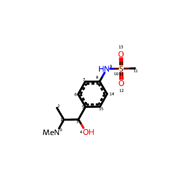 CNC(C)C(O)c1ccc(NS(C)(=O)=O)cc1